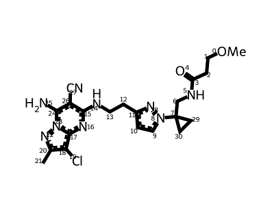 COCCC(=O)NCC1(n2ccc(CCNc3nc4c(Cl)c(C)nn4c(N)c3C#N)n2)CC1